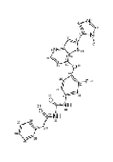 Cn1cncc1-c1cc2nccc(Oc3ccc(NC(=O)NC(=O)Cc4ccccc4)cc3F)c2s1